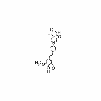 COc1cc(/C=C/c2ccc(N3CCC4(CC3)NC(=O)NC4=O)cc2)cc(C=O)c1O